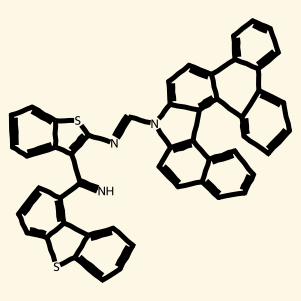 N=C(c1c(/N=C/n2c3ccc4ccccc4c3c3c4c5ccccc5c5ccccc5c4ccc32)sc2ccccc12)c1cccc2sc3ccccc3c12